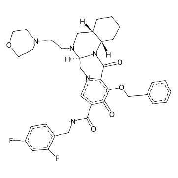 O=C([N]Cc1ccc(F)cc1F)c1cn2c(c(OCc3ccccc3)c1=O)C(=O)N1[C@H]3CCCC[C@H]3CN(CCN3CCOCC3)[C@@H]1C2